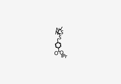 Cc1nnc(SCc2ccc(C(=O)OC(C)C)cc2)s1